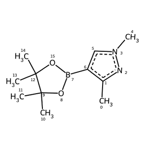 Cc1nn(C)cc1B1OC(C)(C)C(C)(C)O1